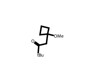 COC1(CC(=O)C(C)(C)C)CCC1